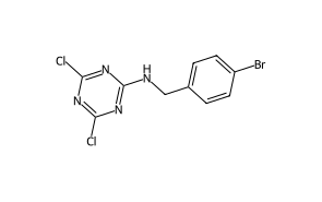 Clc1nc(Cl)nc(NCc2ccc(Br)cc2)n1